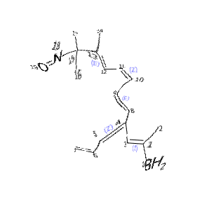 B/C(C)=C/C(=C\C=C)/C=C/C=C\C=C(/C)C(C)(C)N=O